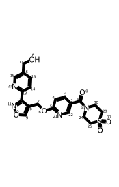 O=C(c1ccc(OCc2conc2-c2ccc(CO)cn2)nc1)N1CCS(=O)(=O)CC1